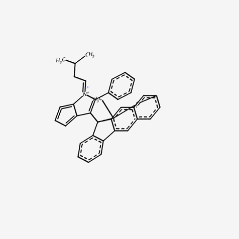 CC(C)C/C=[N+]1\C2=C=CC=C2C(C23c4ccccc4-c4cc5ccc(cc5cc42)CC3C)=C1c1ccccc1